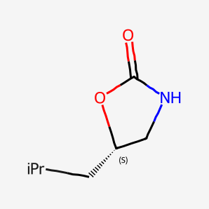 CC(C)C[C@H]1CNC(=O)O1